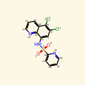 O=S(=O)(Nc1cc(Cl)c(Cl)c2cccnc12)c1ccccn1